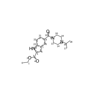 CCOC(=O)c1cc2cc(C(=O)N3CCN(C(C)C)CC3)ccc2[nH]1